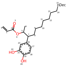 C=CC(=O)OC(C)C(CCCCCCCCCCCCCCCCC)c1ccc(O)c(O)c1